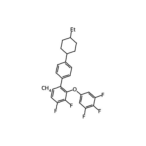 C.CCC1CCC(c2ccc(-c3ccc(F)c(F)c3Oc3cc(F)c(F)c(F)c3)cc2)CC1